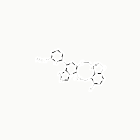 COc1cccc(-c2cc3c(n4cnnc24)NCc2c(F)ccc4c2[C@@H](CO4)CO3)n1